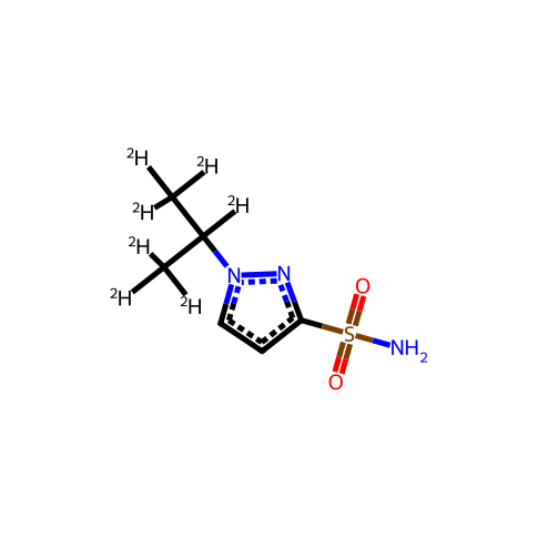 [2H]C([2H])([2H])C([2H])(n1ccc(S(N)(=O)=O)n1)C([2H])([2H])[2H]